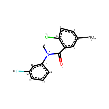 CN(C(=O)c1cc([N+](=O)[O-])ccc1Cl)c1cccc(F)c1